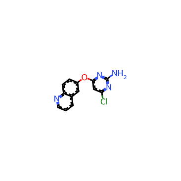 Nc1nc(Cl)cc(Oc2ccc3ncccc3c2)n1